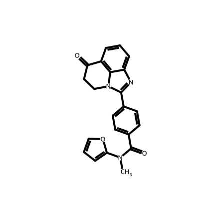 CN(C(=O)c1ccc(-c2nc3cccc4c3n2CCC4=O)cc1)c1ccco1